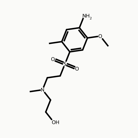 COc1cc(S(=O)(=O)CCN(C)CCO)c(C)cc1N